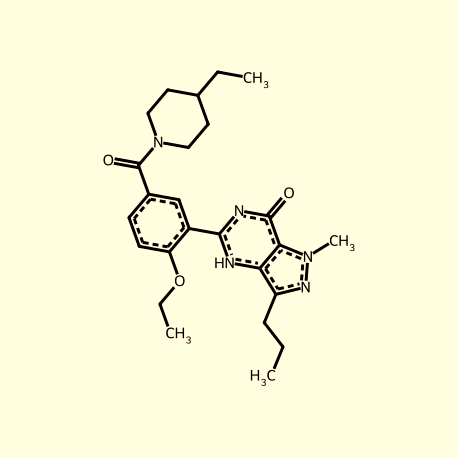 CCCc1nn(C)c2c(=O)nc(-c3cc(C(=O)N4CCC(CC)CC4)ccc3OCC)[nH]c12